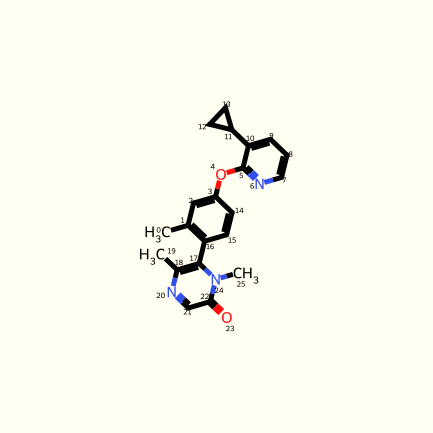 Cc1cc(Oc2ncccc2C2CC2)ccc1-c1c(C)ncc(=O)n1C